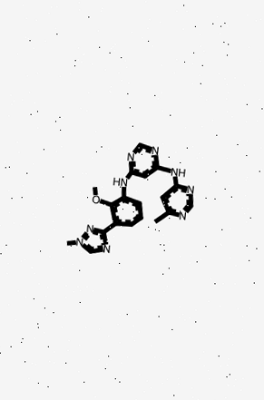 COc1c(Nc2cc(Nc3cc(C)ncn3)ncn2)cccc1-c1ncn(C)n1